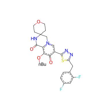 CCCCOc1c2n(cc(-c3nnc(Cc4ccc(F)cc4F)s3)c1=O)CC1(CCOCC1)NC2=O